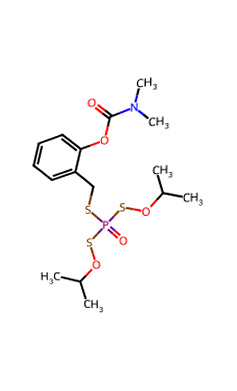 CC(C)OSP(=O)(SCc1ccccc1OC(=O)N(C)C)SOC(C)C